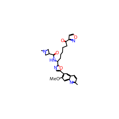 COc1cc2nc(C)ccc2cc1-c1cnc(C(CCCCCC(=O)c2ccon2)NC(=O)C2CN(C)C2)o1